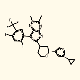 Cc1nc2nc(C3CCO[C@@H](c4cnn(C5CC5)c4)C3)nc(-c3cc(C(F)(F)F)c(F)cc3F)c2nc1C